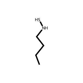 CCCCNS